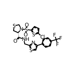 O=C(NCc1nc(-c2ccc(C(F)(F)F)cc2)cs1)[C@@H]1CSCN1S(=O)(=O)c1ccc(Cl)s1